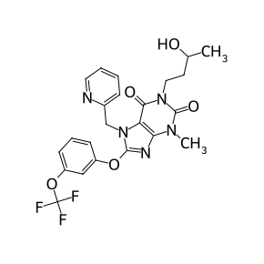 CC(O)CCn1c(=O)c2c(nc(Oc3cccc(OC(F)(F)F)c3)n2Cc2ccccn2)n(C)c1=O